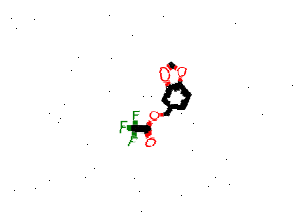 O=C(OCc1ccc2c(c1)OCO2)C(F)(F)F